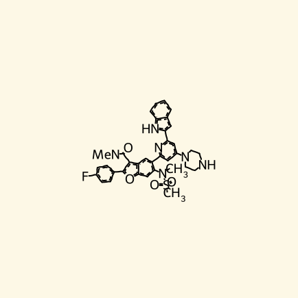 CNC(=O)c1c(-c2ccc(F)cc2)oc2cc(N(C)S(C)(=O)=O)c(-c3cc(N4CCNCC4)cc(-c4cc5ccccc5[nH]4)n3)cc12